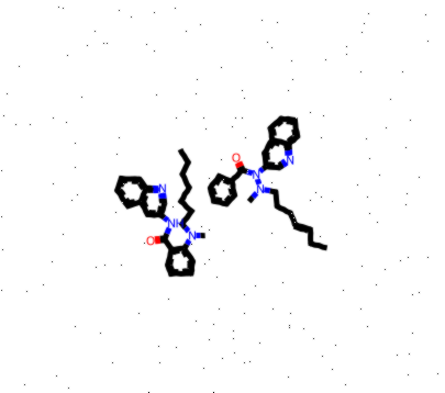 CCC=CCCCN(C)N(C(=O)c1ccccc1)c1cnc2ccccc2c1.CCCCCCCN(C)c1ccccc1C(=O)Nc1cnc2ccccc2c1